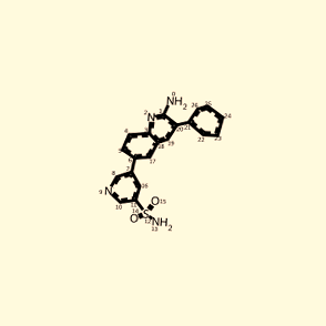 Nc1nc2ccc(-c3cncc(S(N)(=O)=O)c3)cc2cc1-c1ccccc1